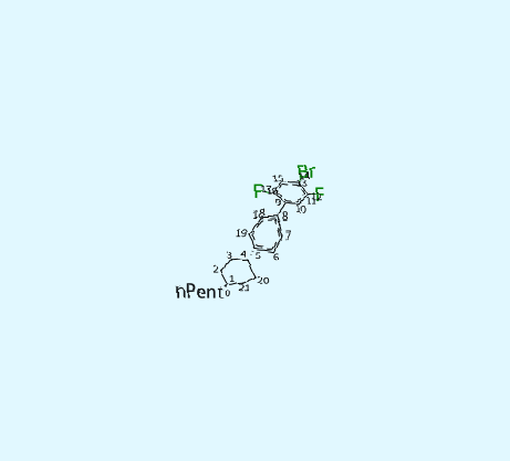 CCCCC[C@H]1CC[C@H](c2ccc(-c3cc(F)c(Br)cc3F)cc2)CC1